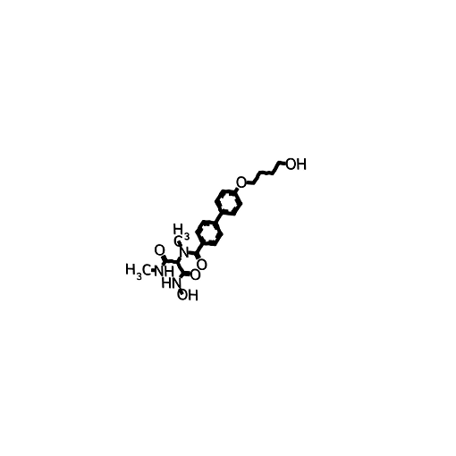 CNC(=O)C(C(=O)NO)N(C)C(=O)c1ccc(-c2ccc(OCCCCO)cc2)cc1